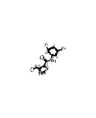 O=C(Nc1cc(F)cc(F)c1)c1snnc1CCl